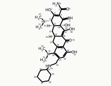 B=C1C(C(N)=O)=C(O)[C@@H](N(C)C)[C@@H]2C[C@@H]3Cc4c(c(O)cc(CNC5CCCCC5)c4N(C)C)C(=O)C3=C(O)[C@]12O